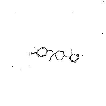 CCC1(Cc2ccc(N)cc2)CCC(c2ccccc2C)CC1